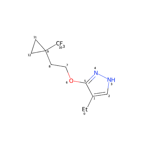 CCc1c[nH]nc1OCCC1(C(F)(F)F)CC1